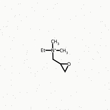 [CH2]C[N+](C)(C)CC1CO1